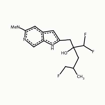 CNc1cc2cc(CC(O)(CC(C)CF)C(F)F)[nH]c2cn1